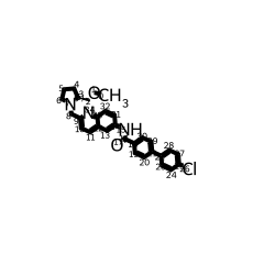 COC[C@@H]1CCCN1Cc1ccc2cc(NC(=O)c3ccc(-c4ccc(Cl)cc4)cc3)ccc2n1